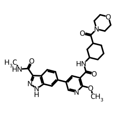 CNC(=O)c1n[nH]c2cc(-c3cnc(OC)c(C(=O)NC4CCCC(C(=O)N5CCOCC5)C4)c3)ccc12